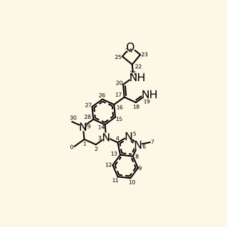 CC1CN(c2nn(C)c3ccccc23)c2cc(/C(C=N)=C/NC3COC3)ccc2N1C